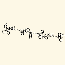 CCOc1c(NCCCCCNC(=O)CCC(=O)NCCCCCN(O)C(=O)CCC(=O)NCCCCCN(O)C(C)=O)c(=O)c1=O